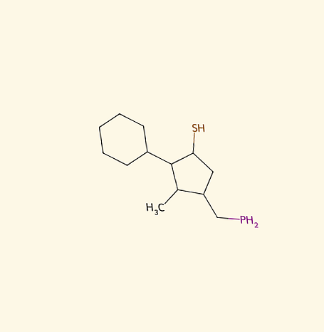 CC1C(CP)CC(S)C1C1CCCCC1